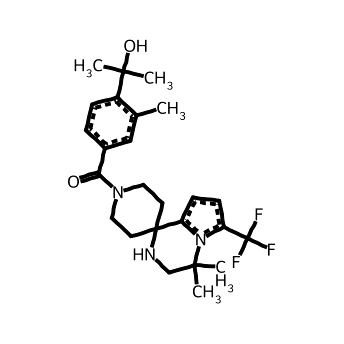 Cc1cc(C(=O)N2CCC3(CC2)NCC(C)(C)n2c(C(F)(F)F)ccc23)ccc1C(C)(C)O